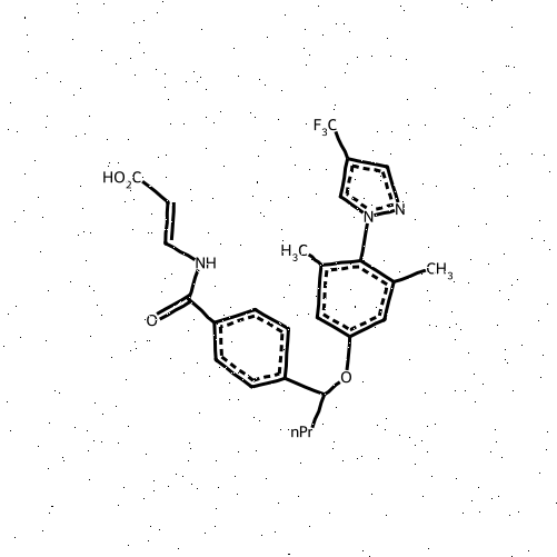 CCCC(Oc1cc(C)c(-n2cc(C(F)(F)F)cn2)c(C)c1)c1ccc(C(=O)N/C=C/C(=O)O)cc1